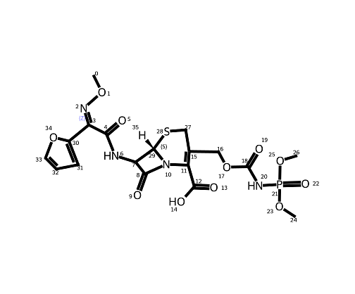 CO/N=C(\C(=O)NC1C(=O)N2C(C(=O)O)=C(COC(=O)NP(=O)(OC)OC)CS[C@@H]12)c1ccco1